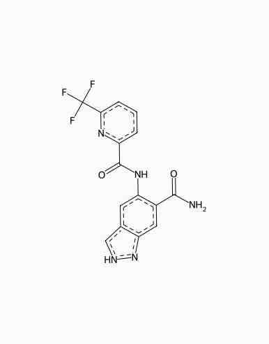 NC(=O)c1cc2n[nH]cc2cc1NC(=O)c1cccc(C(F)(F)F)n1